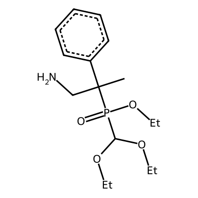 CCOC(OCC)P(=O)(OCC)C(C)(CN)c1ccccc1